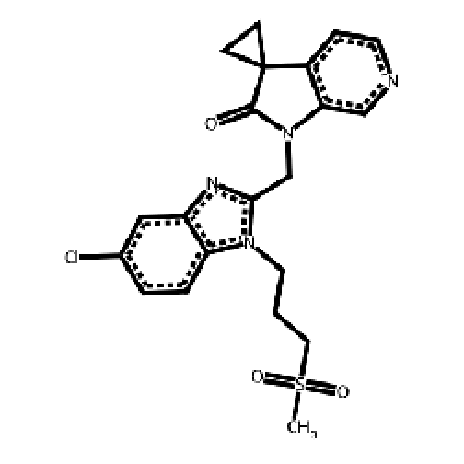 CS(=O)(=O)CCCn1c(CN2C(=O)C3(CC3)c3ccncc32)nc2cc(Cl)ccc21